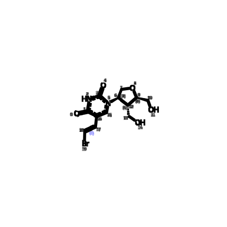 O=c1[nH]c(=O)n([C@H]2CO[C@@H](CO)[C@@H]2CO)cc1/C=C/Br